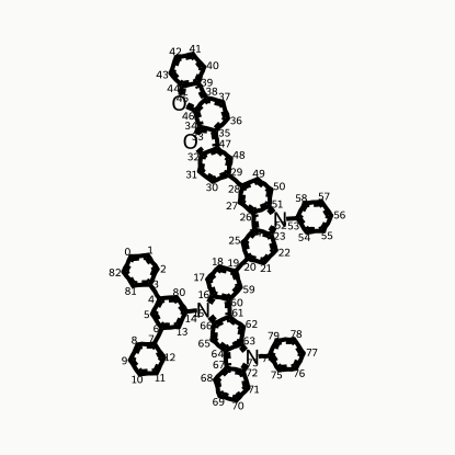 c1ccc(-c2cc(-c3ccccc3)cc(-n3c4ccc(-c5ccc6c(c5)c5cc(-c7ccc8oc9c(ccc%10c%11ccccc%11oc%109)c8c7)ccc5n6-c5ccccc5)cc4c4cc5c(cc43)c3ccccc3n5-c3ccccc3)c2)cc1